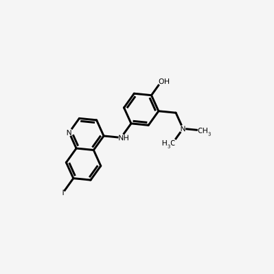 CN(C)Cc1cc(Nc2ccnc3cc(I)ccc23)ccc1O